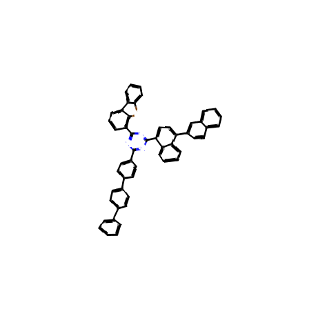 c1ccc(-c2ccc(-c3ccc(-c4nc(-c5ccc(-c6ccc7ccccc7c6)c6ccccc56)nc(-c5cccc6c5sc5ccccc56)n4)cc3)cc2)cc1